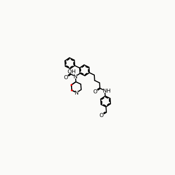 O=Cc1ccc(NC(=O)CCCc2ccc(-c3ccccc3)c(N(C(=O)O)C34CCN(CC3)CC4)c2)cc1